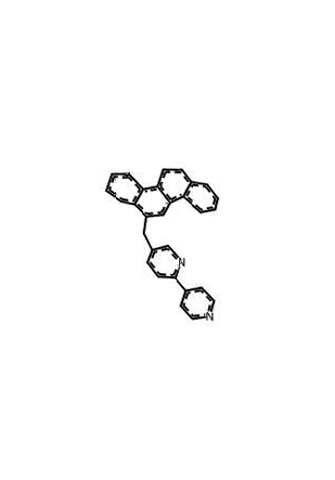 c1ccc2c(c1)ccc1c3ccccc3c(Cc3ccc(-c4ccncc4)nc3)cc21